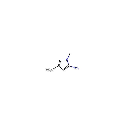 Cn1cc(C(=O)O)cc1N